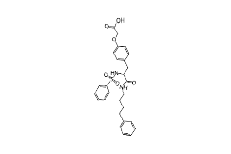 O=C(O)COc1ccc(CC(NS(=O)(=O)c2ccccc2)C(=O)NCCCCc2ccccc2)cc1